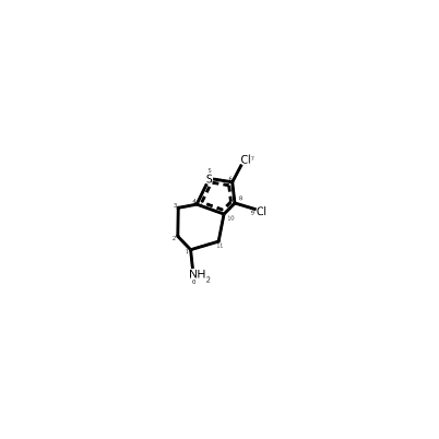 NC1CCc2sc(Cl)c(Cl)c2C1